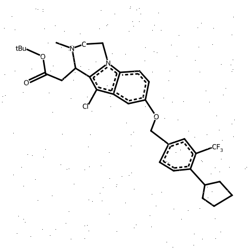 CN1CCn2c(c(Cl)c3cc(OCc4ccc(C5CCCC5)c(C(F)(F)F)c4)ccc32)C1CC(=O)OC(C)(C)C